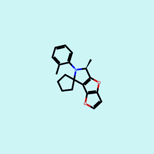 Cc1ccccc1N1[C@@H](C)c2oc3ccoc3c2C12CCCC2